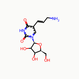 NCC=Cc1cn([C@H]2O[C@@H](CO)C(O)C2O)c(=O)[nH]c1=O